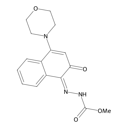 COC(=O)NN=C1C(=O)C=C(N2CCOCC2)c2ccccc21